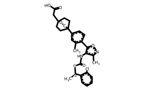 Cc1cc(C23CCC(CC(=O)O)(CC2)OC3)ccc1-c1onc(C)c1NC(=O)O[C@H](C)c1ccccc1Cl